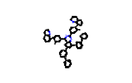 Cc1cc(-c2nc(-c3ccc(-c4cccc5cccnc45)c(C)c3)c3cc(-c4cccc(-c5ccccc5)c4)cc(-c4cccc(-c5ccccc5)c4)c3n2)ccc1-c1cccc2cccnc12